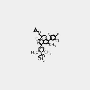 C=CC(=O)N1[C@H](C)CN(c2nc(=O)n3c4c(c(-c5cc(Cl)c(F)cc5F)c(C)cc24)SCC3COC2CC2)C[C@@H]1C